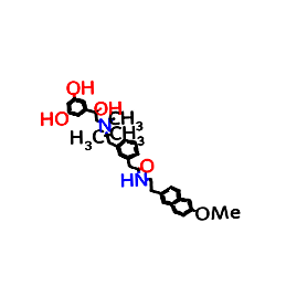 COc1ccc2cc(CCNC(=O)Cc3cccc(CC(C)(C)N(C)C[C@H](O)c4cc(O)cc(O)c4)c3)ccc2c1